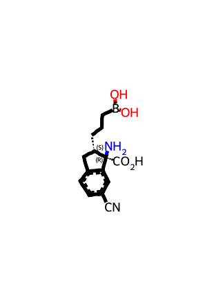 N#Cc1ccc2c(c1)[C@@](N)(C(=O)O)[C@@H](CCCB(O)O)C2